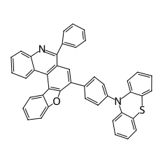 c1ccc(-c2nc3ccccc3c3c2cc(-c2ccc(N4c5ccccc5Sc5ccccc54)cc2)c2oc4ccccc4c23)cc1